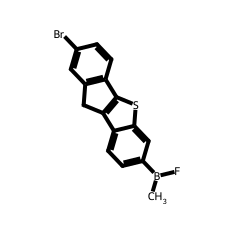 CB(F)c1ccc2c3c(sc2c1)-c1ccc(Br)cc1C3